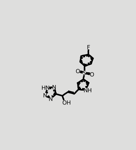 O=S(=O)(c1ccc(F)cc1)c1c[nH]c(C=CC(O)c2nn[nH]n2)c1